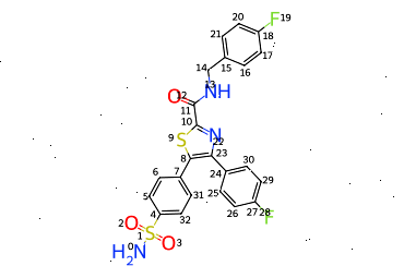 NS(=O)(=O)c1ccc(-c2sc(C(=O)NCc3ccc(F)cc3)nc2-c2ccc(F)cc2)cc1